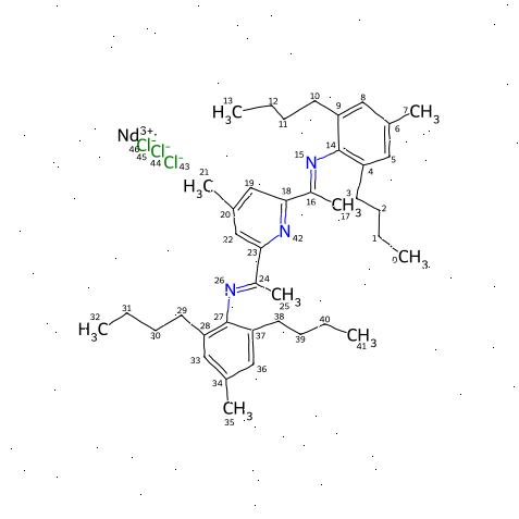 CCCCc1cc(C)cc(CCCC)c1N=C(C)c1cc(C)cc(C(C)=Nc2c(CCCC)cc(C)cc2CCCC)n1.[Cl-].[Cl-].[Cl-].[Nd+3]